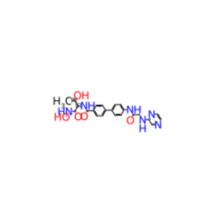 C[C@@H](O)[C@H](NC(=O)c1ccc(-c2ccc(NC(=O)CNc3cnccn3)cc2)cc1)C(=O)NO